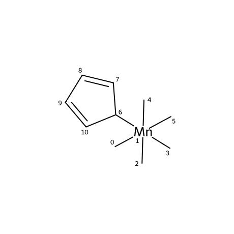 [CH3][Mn]([CH3])([CH3])([CH3])([CH3])[CH]1C=CC=C1